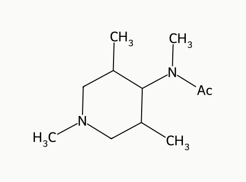 CC(=O)N(C)C1C(C)CN(C)CC1C